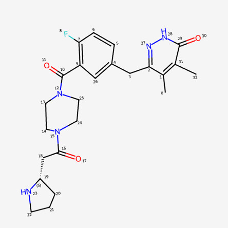 Cc1c(Cc2ccc(F)c(C(=O)N3CCN(C(=O)C[C@@H]4CCCN4)CC3)c2)n[nH]c(=O)c1C